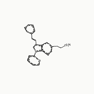 O=C(O)CCc1ccc2c(c1)c(C=Cc1ccccc1)cn2-c1ccccn1